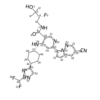 CC(C)(O)[C@H](F)CNC(=O)c1cnc(-c2ccc3cc(C#N)cnn23)cc1N[C@H]1CC[C@H](c2cnn(C(F)F)n2)CC1